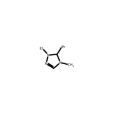 CCN1N=CN(C)C1C(C)C